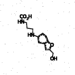 O=C(O)NCCCNc1ccc2oc(CO)cc2c1